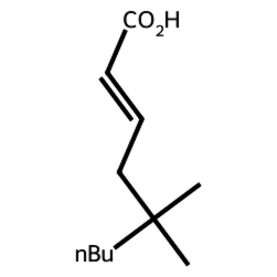 CCCCC(C)(C)CC=CC(=O)O